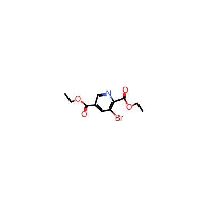 CCOC(=O)c1cnc(C(=O)OCC)c(Br)c1